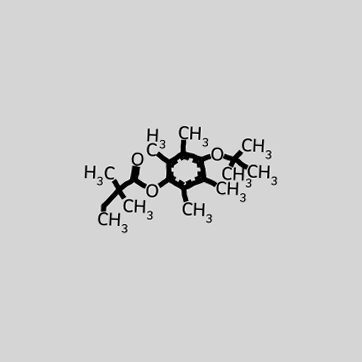 CCC(C)(C)C(=O)Oc1c(C)c(C)c(OC(C)(C)C)c(C)c1C